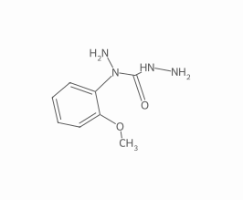 COc1ccccc1N(N)C(=O)NN